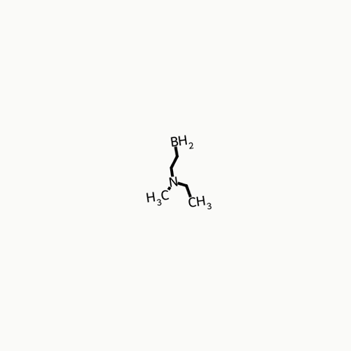 BCCN(C)CC